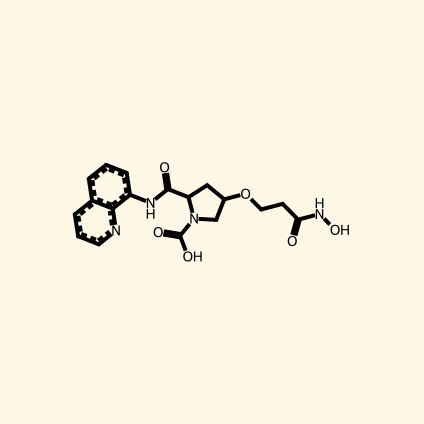 O=C(CCOC1CC(C(=O)Nc2cccc3cccnc23)N(C(=O)O)C1)NO